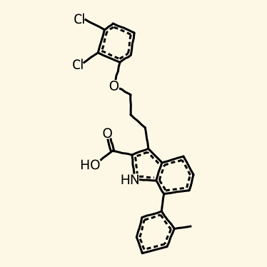 Cc1ccccc1-c1cccc2c(CCCOc3cccc(Cl)c3Cl)c(C(=O)O)[nH]c12